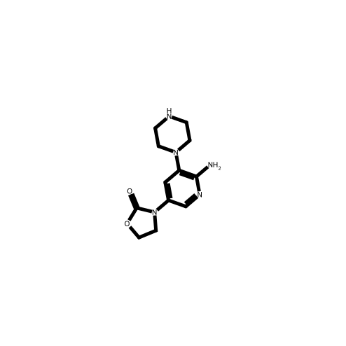 Nc1ncc(N2CCOC2=O)cc1N1CCNCC1